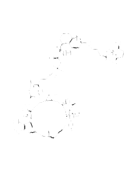 COc1cc2cc(c1Cl)N(C)C(=O)C[C@H](OC(=O)[C@H](C)N(C)C(=O)CCSSC(C)(C)CC(=O)N/N=C1/CCCc3nc(OCCCC(=O)ON4C(=O)CCC4=O)ccc31)[C@@]1(C)C[C@H]1[C@H](C)[C@@H]1C[C@@](O)(NC(=O)O1)[C@H](OC)/C=C/C=C(\C)C2